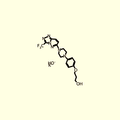 OCCCOc1ccc(N2CCN(c3ccc4nnc(C(F)(F)F)n4n3)CC2)cc1.[K+].[OH-]